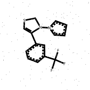 FC(F)(F)c1cccc(C2=CSCN2n2cccc2)c1